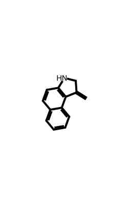 C=C1CNc2ccc3ccccc3c21